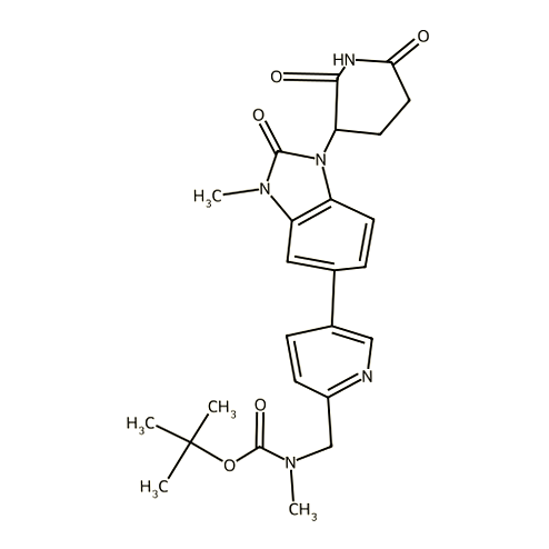 CN(Cc1ccc(-c2ccc3c(c2)n(C)c(=O)n3C2CCC(=O)NC2=O)cn1)C(=O)OC(C)(C)C